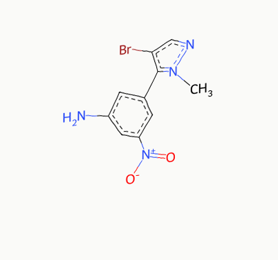 Cn1ncc(Br)c1-c1cc(N)cc([N+](=O)[O-])c1